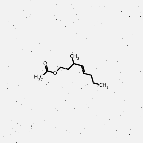 CCCC=CC(C)CCOC(C)=O